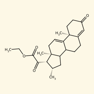 CCOC(=O)C(=O)[C@H]1[C@@H](C)CC2C3CCC4=CC(=O)CC[C@]4(C)C3=CC[C@@]21C